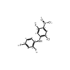 O=[N+]([O-])c1cc(Cl)c(Nc2ccc(F)cc2F)cc1F